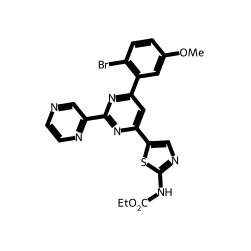 CCOC(=O)Nc1ncc(-c2cc(-c3cc(OC)ccc3Br)nc(-c3cnccn3)n2)s1